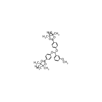 COc1cccc(C(Oc2ccc(B3OC(C)(C)C(C)(C)O3)cc2)Oc2ccc(B3OC(C)(C)C(C)(C)O3)cc2)c1